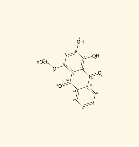 CCCCCCCCOc1cc(O)c(O)c2c1C(=O)c1ccccc1C2=O